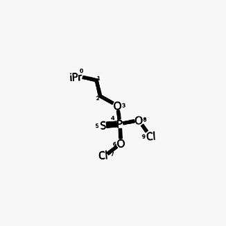 CC(C)CCOP(=S)(OCl)OCl